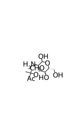 CC(=O)C(C)([C]=O)O[C@@H]1[C@@H](N)[C@@H](O)O[C@H](CO)[C@H]1O